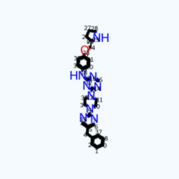 c1ccc(Cc2cnc(N3CCN(c4ncnc(Nc5ccc(OC[C@H]6CCCN6)cc5)n4)CC3)nc2)cc1